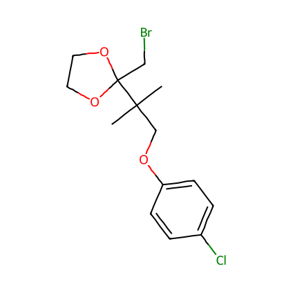 CC(C)(COc1ccc(Cl)cc1)C1(CBr)OCCO1